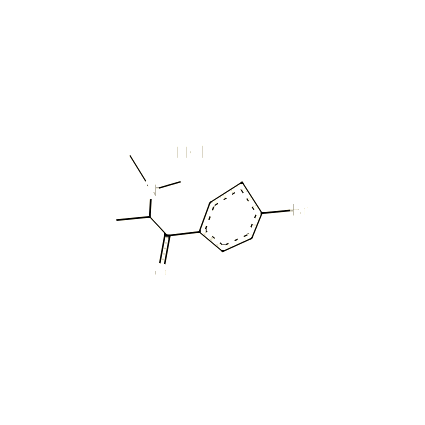 CC(C(=O)c1ccc(Br)cc1)N(C)C.Cl